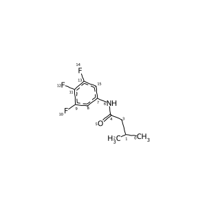 CC(C)CC(=O)Nc1cc(F)c(F)c(F)c1